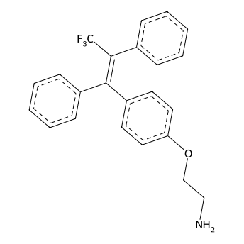 NCCOc1ccc(/C(=C(\c2ccccc2)C(F)(F)F)c2ccccc2)cc1